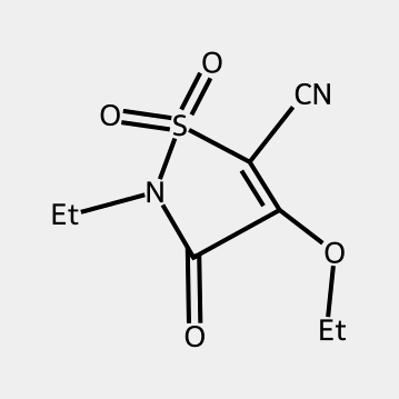 CCOC1=C(C#N)S(=O)(=O)N(CC)C1=O